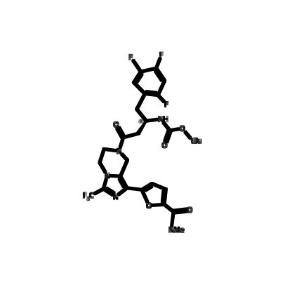 CNC(=O)c1ccc(-c2nc(C(F)(F)F)n3c2CN(C(=O)C[C@@H](Cc2cc(F)c(F)cc2F)NC(=O)OC(C)(C)C)CC3)o1